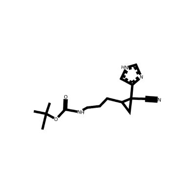 CC(C)(C)OC(=O)NCCCC1CC1(C#N)c1c[nH]cn1